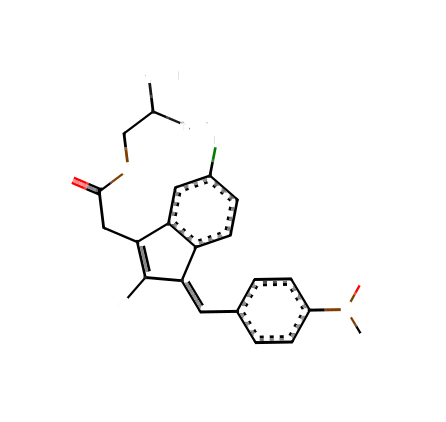 CC(=O)NC(CSC(=O)CC1=C(C)/C(=C/c2ccc([S+](C)[O-])cc2)c2ccc(F)cc21)C(=O)O